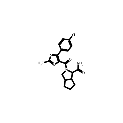 Cc1nc(C(=O)N2CC3CCCC3C2C(N)=O)c(-c2ccc(Cl)cc2)s1